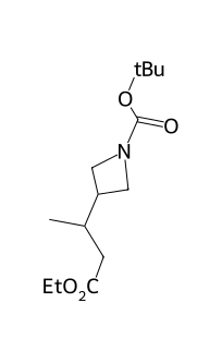 CCOC(=O)CC(C)C1CN(C(=O)OC(C)(C)C)C1